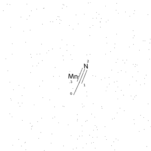 CC#N.[Mn]